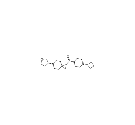 O=C(C1CC12CCN(C1CCOC1)CC2)N1CCN(C2CCC2)CC1